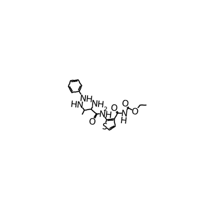 CCOC(=O)NC(=O)c1ccsc1NC(=O)C(N)C(C)NNc1ccccc1